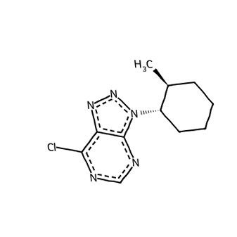 C[C@H]1CCCC[C@@H]1n1nnc2c(Cl)ncnc21